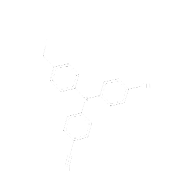 C#Cc1ccc(N(c2ccc(C)cc2)c2ccc(CC)cc2)cc1